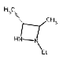 CCN1N[C@H](C)C1C